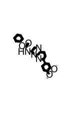 COc1ccc(-c2ccc3ncc(NC(=O)Oc4ccccc4)nc3n2)cc1OC